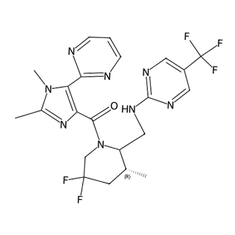 Cc1nc(C(=O)N2CC(F)(F)C[C@@H](C)C2CNc2ncc(C(F)(F)F)cn2)c(-c2ncccn2)n1C